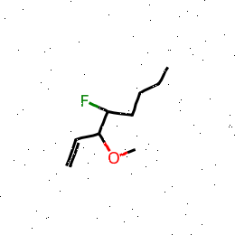 [CH]=CC(OC)C(F)CCCC